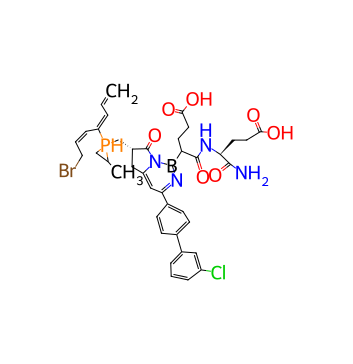 C=C/C=C(\C=C/CBr)[PH]1(C[C@H]2CC3=CC(c4ccc(-c5cccc(Cl)c5)cc4)=NB(C(CCC(=O)O)C(=O)N[C@@H](CCC(=O)O)C(N)=O)N3C2=O)CC1C